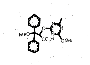 COc1nc(C)nc(OC(C(=O)O)C(OC)(c2ccccc2)c2ccccc2)n1